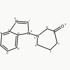 O=C1CCCN(n2cnc3ccccc32)C1